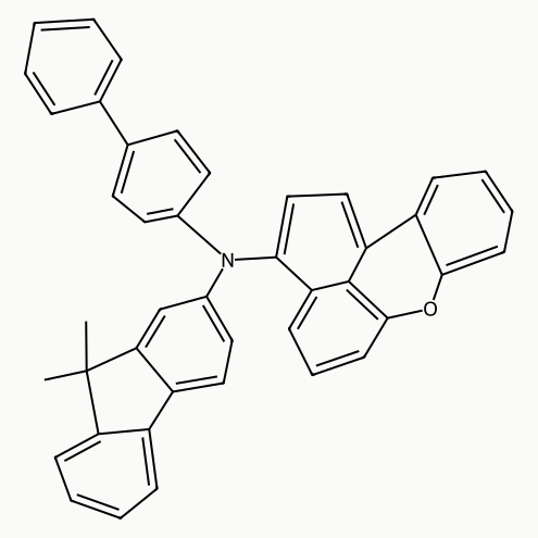 CC1(C)c2ccccc2-c2ccc(N(c3ccc(-c4ccccc4)cc3)c3ccc4c5c(cccc35)Oc3ccccc3-4)cc21